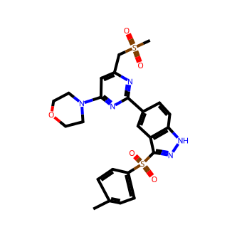 Cc1ccc(S(=O)(=O)c2n[nH]c3ccc(-c4nc(CS(C)(=O)=O)cc(N5CCOCC5)n4)cc23)cc1